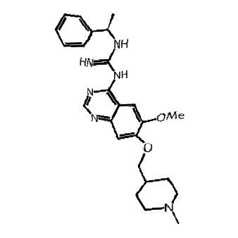 COc1cc2c(NC(=N)N[C@H](C)c3ccccc3)ncnc2cc1OCC1CCN(C)CC1